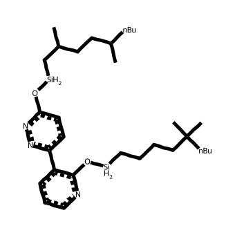 CCCCC(C)CCC(C)C[SiH2]Oc1ccc(-c2cccnc2O[SiH2]CCCCC(C)(C)CCCC)nn1